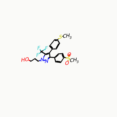 CSc1ccc(-c2c(-c3ccc(S(C)(=O)=O)cc3)nn(CCCO)c2C(F)(F)F)cc1